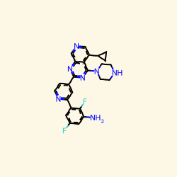 Nc1cc(F)cc(-c2cc(-c3nc(N4CCNCC4)c4c(C5CC5)cncc4n3)ccn2)c1F